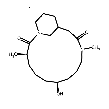 C[C@@H]1CCC[C@H](O)CCCN(C)C(=O)CC2CCCN(C2)C1=O